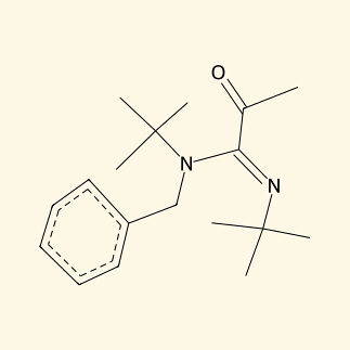 CC(=O)/C(=N/C(C)(C)C)N(Cc1ccccc1)C(C)(C)C